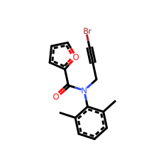 Cc1cccc(C)c1N(CC#CBr)C(=O)c1ccco1